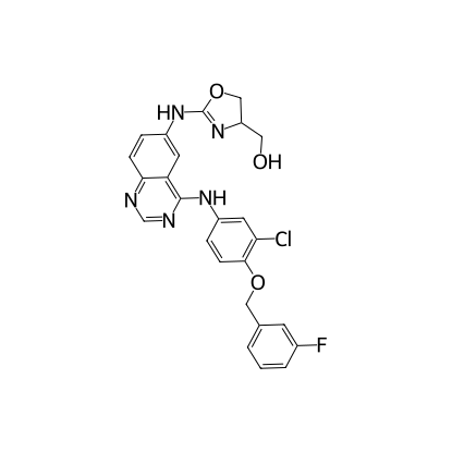 OCC1COC(Nc2ccc3ncnc(Nc4ccc(OCc5cccc(F)c5)c(Cl)c4)c3c2)=N1